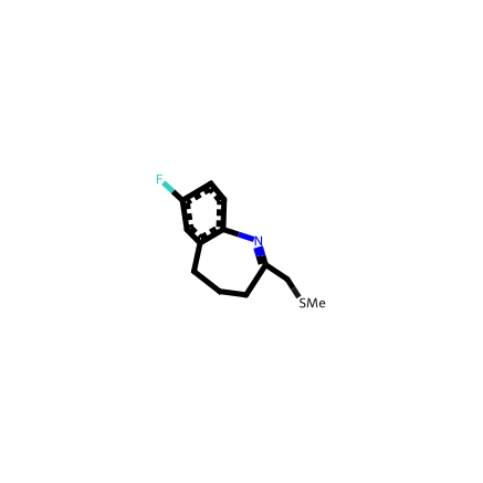 CSCC1=Nc2ccc(F)cc2C[CH]C1